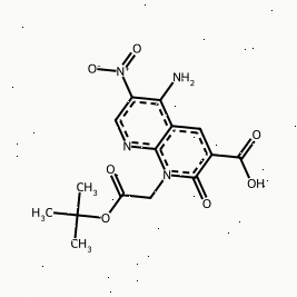 CC(C)(C)OC(=O)Cn1c(=O)c(C(=O)O)cc2c(N)c([N+](=O)[O-])cnc21